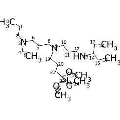 CCCN(CC)CCCN(CCCNC(CC)CC)CCC[Si](OC)(OC)OC